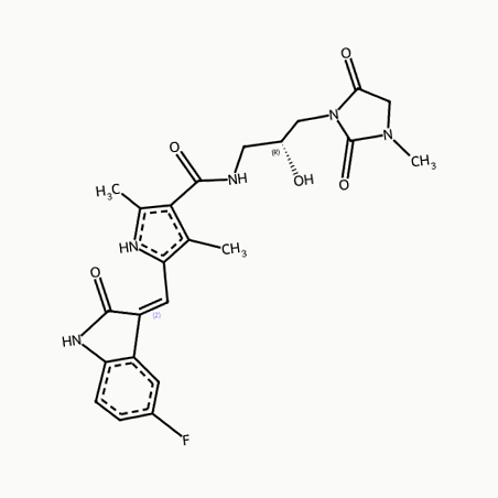 Cc1[nH]c(/C=C2\C(=O)Nc3ccc(F)cc32)c(C)c1C(=O)NC[C@@H](O)CN1C(=O)CN(C)C1=O